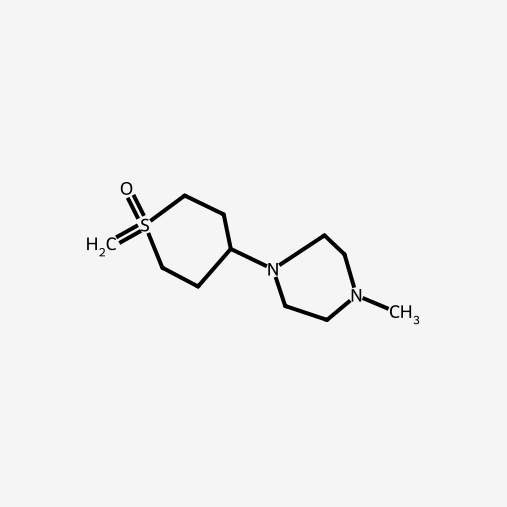 C=S1(=O)CCC(N2CCN(C)CC2)CC1